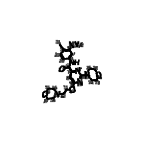 CNc1cc(NC(=O)c2cc(OCCN3CCOCC3)nc(N3CCOCC3)n2)ccc1C